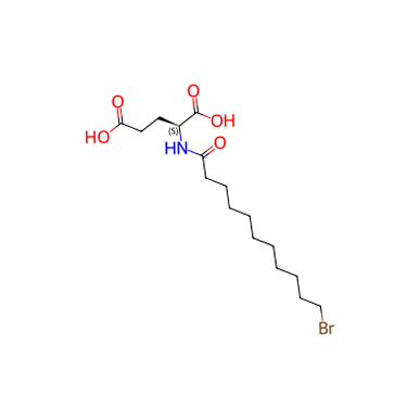 O=C(O)CC[C@H](NC(=O)CCCCCCCCCCBr)C(=O)O